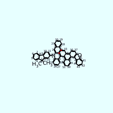 CC1(C)c2ccccc2-c2ccc(N(c3ccc4ccccc4c3)c3ccccc3-c3cccc4c5ccc6oc7ccccc7c6c5c5ccccc5c34)cc21